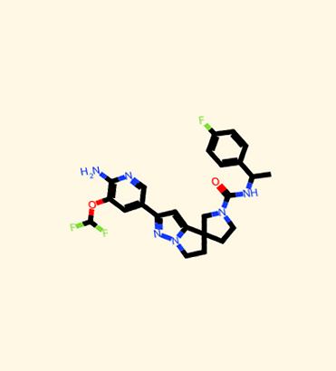 CC(NC(=O)N1CCC2(CCn3nc(-c4cnc(N)c(OC(F)F)c4)cc32)C1)c1ccc(F)cc1